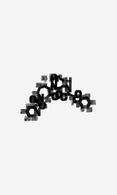 CC(C)C[C@@H](NC(=O)c1cc2ccccc2o1)C(=O)N[C@@H]1C(=O)CN(S(=O)(=O)c2ccccn2)CC[C@@H]1C